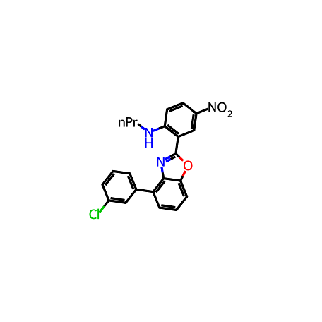 CCCNc1ccc([N+](=O)[O-])cc1-c1nc2c(-c3cccc(Cl)c3)cccc2o1